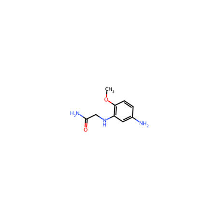 COc1ccc(N)cc1NCC(N)=O